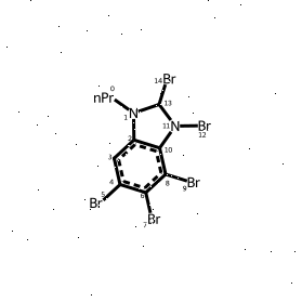 CCCN1c2cc(Br)c(Br)c(Br)c2N(Br)C1Br